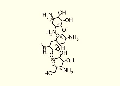 CNC1CC2O[C@H](O[C@@H]3C(N)C[C@@H](N)C(O)C3O)C(N)C[C@@H]2OC1O[C@H]1OC(CO)[C@@H](N)C(O)C1O